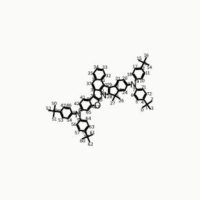 CC(C)(C)c1ccc(N(c2ccc(C(C)(C)C)cc2)c2ccc3c(c2)C(C)(C)c2c-3c3c4ccccc4cc4c5c6ccc(N(c7ccc(C(C)(C)C)cc7)c7ccc(C(C)(C)C)cc7)cc6oc5n2c43)cc1